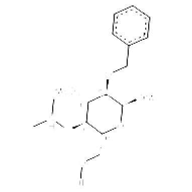 CO[C@H]1O[C@H](COC(C)(C)C)[C@@H](O[SiH](C)C)[C@H](OC)[C@H]1OCc1ccccc1